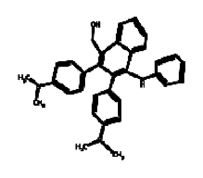 CN(C)c1ccc(-c2c(-c3ccc(N(C)C)cc3)c(Nc3ccccc3)c3ccccc3c2CO)cc1